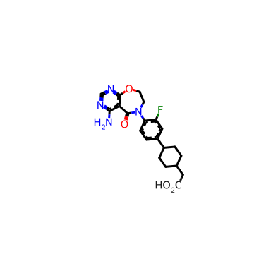 Nc1ncnc2c1C(=O)N(c1ccc(C3CCC(CC(=O)O)CC3)cc1F)CCO2